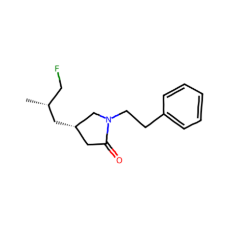 C[C@H](CF)C[C@H]1CC(=O)N(CCc2ccccc2)C1